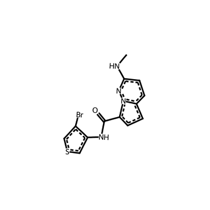 CNc1ccc2ccc(C(=O)Nc3cscc3Br)n2n1